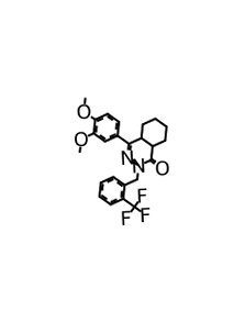 COc1ccc(C2=NN(Cc3ccccc3C(F)(F)F)C(=O)C3CCCCC23)cc1OC